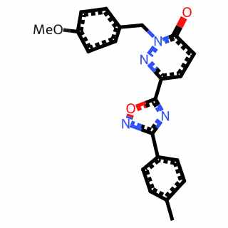 COc1ccc(Cn2nc(-c3nc(-c4ccc(C)cc4)no3)ccc2=O)cc1